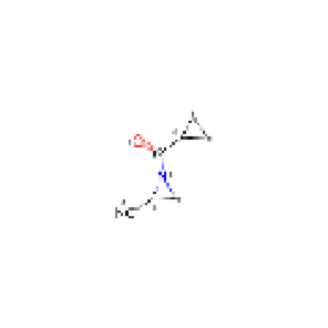 N#CC1CN1C(=O)C1CC1